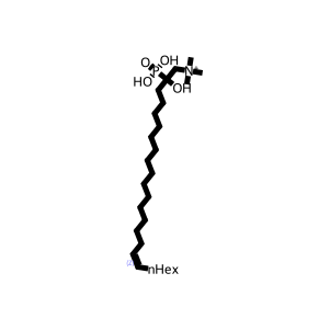 CCCCCC/C=C\CCCCCCCCCCCCCCC(O)(C[N+](C)(C)C)P(=O)(O)O